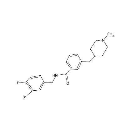 CN1CCC(Cc2cccc(C(=O)NCc3ccc(F)c(Br)c3)c2)CC1